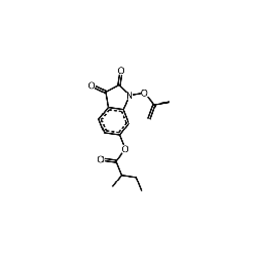 C=C(C)ON1C(=O)C(=O)c2ccc(OC(=O)C(C)CC)cc21